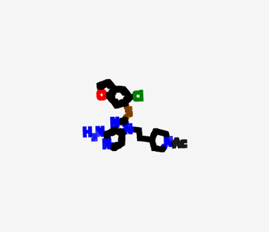 CC(=O)N1CCC(CCn2c(Sc3cc4occc4cc3Cl)nc3c(N)nccc32)CC1